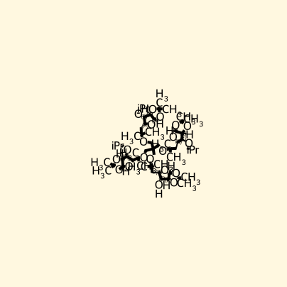 CC(C)O[C@@H]1[C@H]2OC(C)(C)O[C@H]2O[C@@H]1CC(C)(C)OCC(COC(C)(C)C[C@H]1O[C@@H]2OC(C)(C)O[C@@H]2[C@H]1O)(COC(C)(C)C[C@H]1O[C@@H]2OC(C)(C)O[C@@H]2[C@H]1OC(C)C)COC(C)(C)C1O[C@@H]2OC(C)(C)O[C@@H]2[C@H]1OC(C)C